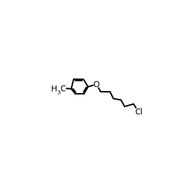 Cc1ccc(OCCCCCCCl)cc1